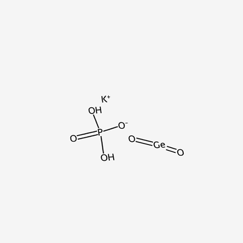 O=P([O-])(O)O.[K+].[O]=[Ge]=[O]